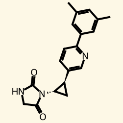 Cc1cc(C)cc(-c2ccc([C@H]3C[C@@H]3N3C(=O)CNC3=O)cn2)c1